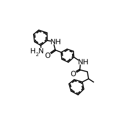 CC(CC(=O)Nc1ccc(C(=O)Nc2ccccc2N)cc1)c1ccccc1